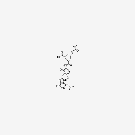 CC(C)Cc1ncc(F)c2nc(Cn3c(Cl)ccc(NC(=O)[C@@H](CC/C=C/C(=O)N(C)C)CN(C)C(=O)O)c3=O)[nH]c12